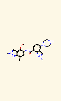 COc1c(NC(=O)c2ccc(N3CCNCC3)c3cn(C)nc23)cc(C)c2nn(C)cc12